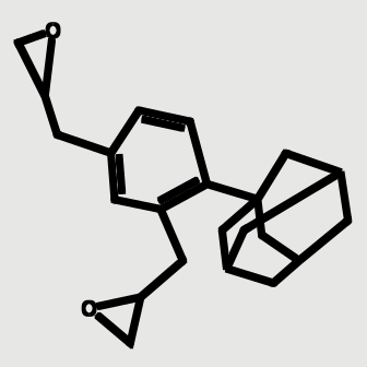 c1cc(C23CC4CC(CC(C4)C2)C3)c(CC2CO2)cc1CC1CO1